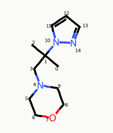 CC(C)(CN1CCOCC1)n1c[c]cn1